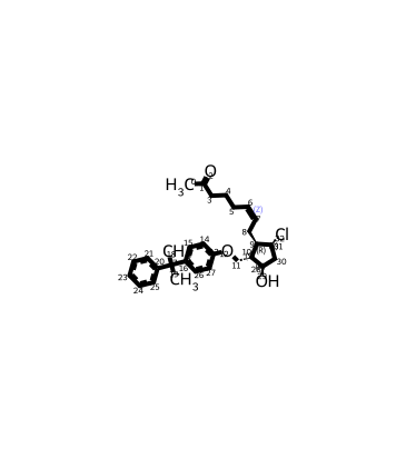 CC(=O)CCC/C=C\C[C@@H]1[C@@H](COc2ccc(C(C)(C)c3ccccc3)cc2)[C@H](O)C[C@H]1Cl